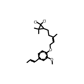 CC=Cc1ccc(OCC=C(C)CCC2C(C)(C)C2(Cl)Cl)c(OC)c1